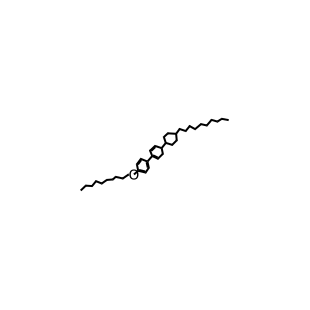 CCCCCCCCCCOc1ccc(C2=CCC(C3CCC(CCCCCCCCCC)CC3)C=C2)cc1